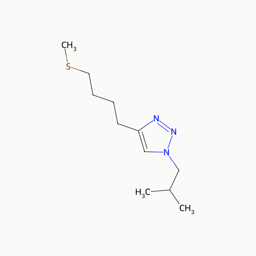 CSCCCCc1cn(CC(C)C)nn1